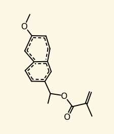 C=C(C)C(=O)OC(C)c1ccc2cc(OC)ccc2c1